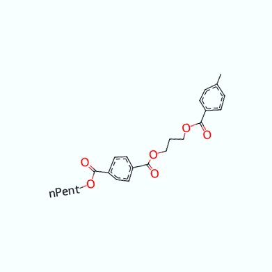 CCCCCOC(=O)c1ccc(C(=O)OCCCOC(=O)c2ccc(C)cc2)cc1